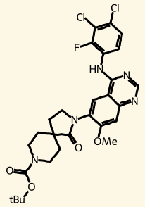 COc1cc2ncnc(Nc3ccc(Cl)c(Cl)c3F)c2cc1N1CCC2(CCN(C(=O)OC(C)(C)C)CC2)C1=O